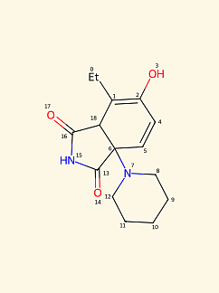 CCC1=C(O)C=CC2(N3CCCCC3)C(=O)NC(=O)C12